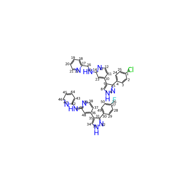 Clc1ccc(-c2n[nH]cc2-c2ccnc(NCc3ccccn3)c2)cc1.Fc1ccc(-c2n[nH]cc2-c2ccnc(Nc3ccccn3)c2)cc1